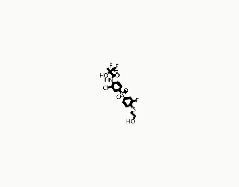 CC(O)(C(=O)Nc1ccc(S(=O)(=O)c2ccc(SCCO)c(F)c2)cc1Cl)C(F)(F)F